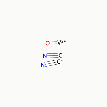 [C-]#N.[C-]#N.[O]=[V+2]